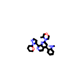 CNc1ccccc1-c1cc(N2CCOCC2C)nc2c(-c3ccnn3C3CCCCO3)nccc12